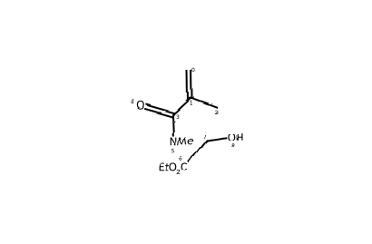 C=C(C)C(=O)NC.CCOC(=O)CO